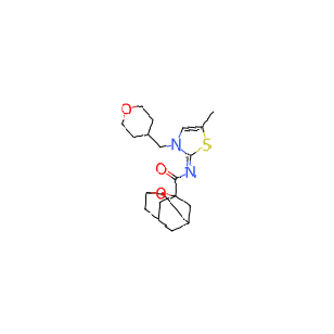 Cc1cn(CC2CCOCC2)c(=NC(=O)C23CC4CC(CC(C4)O2)C3)s1